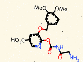 COc1ccc(COc2cc(C(=O)O)cnc2OC(=O)NC(=O)CN)cc1OC